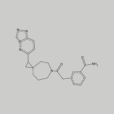 NC(=O)c1cccc(CC(=O)N2CCCC3(CC2)CC3c2ccc3nncn3n2)c1